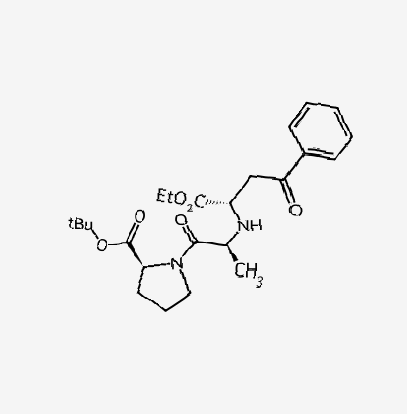 CCOC(=O)[C@H](CC(=O)c1ccccc1)N[C@@H](C)C(=O)N1CCC[C@H]1C(=O)OC(C)(C)C